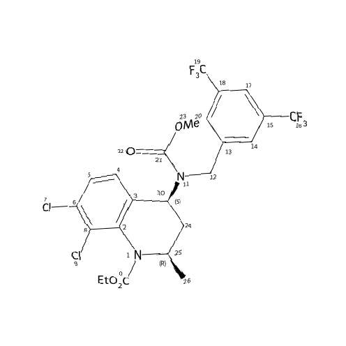 CCOC(=O)N1c2c(ccc(Cl)c2Cl)[C@@H](N(Cc2cc(C(F)(F)F)cc(C(F)(F)F)c2)C(=O)OC)C[C@H]1C